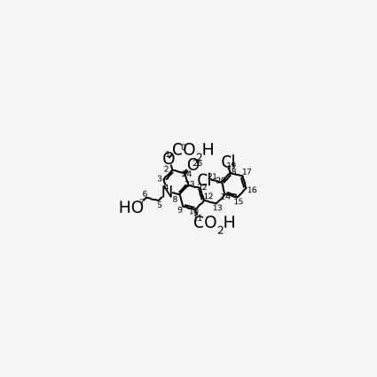 O=C(O)Oc1cn(CCO)c2cc(C(=O)O)c(Cc3cccc(Cl)c3Cl)cc2c1=O